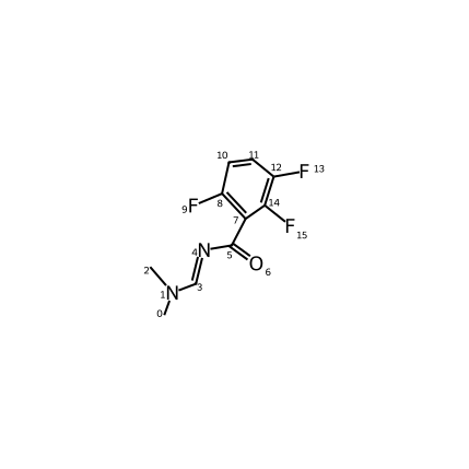 CN(C)C=NC(=O)c1c(F)ccc(F)c1F